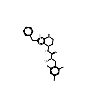 Cc1cc(C)c(CC(N)C(=O)NC2CCNc3[nH]c(Cc4ccccc4)nc32)c(C)c1